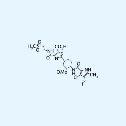 CO[C@H]1CN(c2nc(C(=O)NCCS(C)(=O)=O)c(C(=O)O)s2)CCC1NC(=O)c1[nH]c(C)c(CI)c1Cl